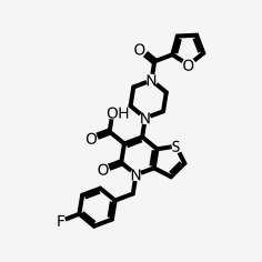 O=C(O)c1c(N2CCN(C(=O)c3ccco3)CC2)c2sccc2n(Cc2ccc(F)cc2)c1=O